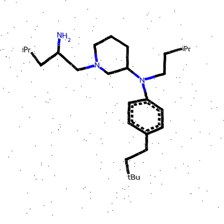 CC(C)CCN(c1ccc(CCC(C)(C)C)cc1)C1CCCN(CC(N)CC(C)C)C1